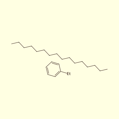 CCCCCCCCCCCCCCCC.CCc1ccccc1